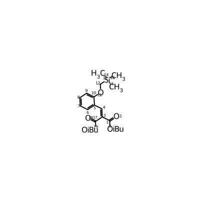 CC(C)COC(=O)C(=Cc1ccccc1OC[Si](C)(C)C)C(=O)OCC(C)C